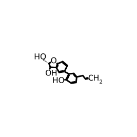 C=CCc1ccc(O)c(-c2ccc3c(c2)C(O)[C@H](CO)O3)c1